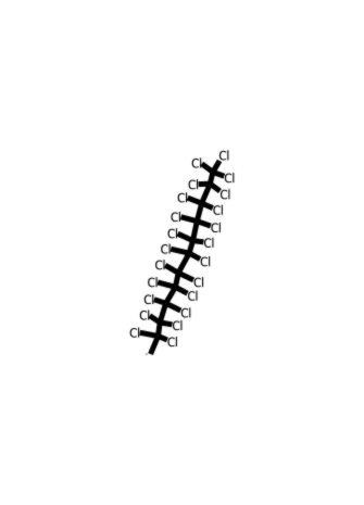 [CH2]C(Cl)(Cl)C(Cl)(Cl)C(Cl)(Cl)C(Cl)(Cl)C(Cl)(Cl)C(Cl)(Cl)C(Cl)(Cl)C(Cl)(Cl)C(Cl)(Cl)C(Cl)(Cl)C(Cl)(Cl)Cl